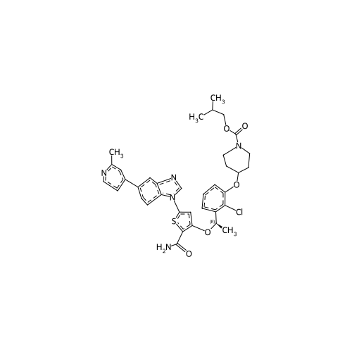 Cc1cc(-c2ccc3c(c2)ncn3-c2cc(O[C@H](C)c3cccc(OC4CCN(C(=O)OCC(C)C)CC4)c3Cl)c(C(N)=O)s2)ccn1